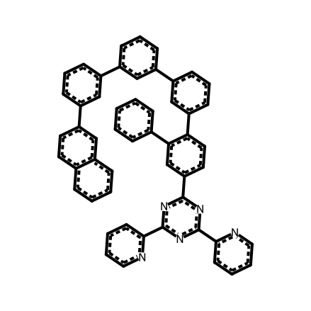 c1ccc(-c2cc(-c3nc(-c4ccccn4)nc(-c4ccccn4)n3)ccc2-c2cccc(-c3cccc(-c4cccc(-c5ccc6ccccc6c5)c4)c3)c2)cc1